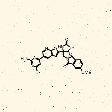 COc1ccc2c(c1)C(=O)N(C[C@@]1(c3cc4cc(-c5cc(O)nc(N)n5)cnc4o3)NC(=O)NC1=O)C2